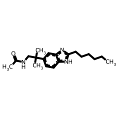 CCCCCCc1nc2cc(C(C)(C)CNC(C)=O)ccc2[nH]1